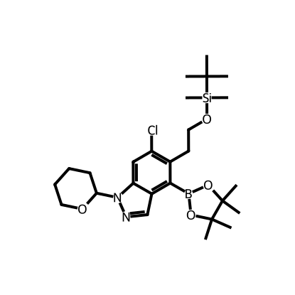 CC1(C)OB(c2c(CCO[Si](C)(C)C(C)(C)C)c(Cl)cc3c2cnn3C2CCCCO2)OC1(C)C